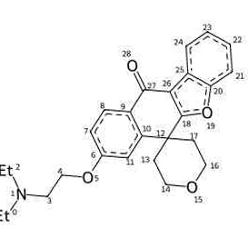 CCN(CC)CCOc1ccc2c(c1)C1(CCOCC1)c1oc3ccccc3c1C2=O